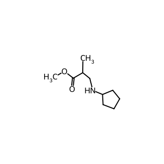 COC(=O)C(C)CNC1CCCC1